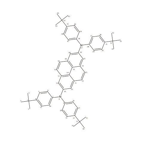 CC(C)(C)c1ccc(N(c2ccc(C(C)(C)C)cc2)c2cc3ccc4cc(N(c5ccc(C(C)(C)C)cc5)c5ccc(C(C)(C)C)cc5)cc5ccc(c2)c3c45)cc1